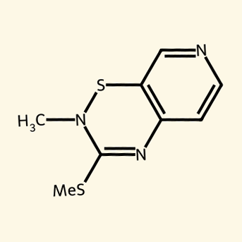 CSC1=Nc2ccncc2SN1C